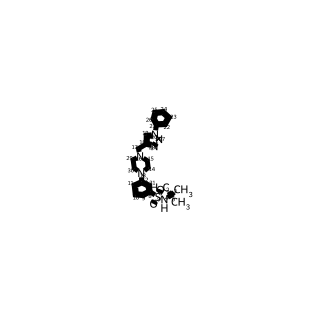 CC(C)(C)NS(=O)(=O)c1cccc(N2CCN(Cc3cn(-c4ccccc4)nn3)CC2)c1